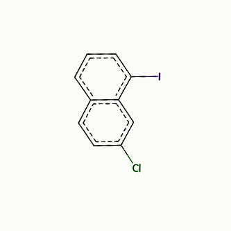 Clc1ccc2cccc(I)c2c1